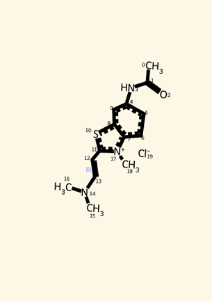 CC(=O)Nc1ccc2c(c1)sc(/C=C/N(C)C)[n+]2C.[Cl-]